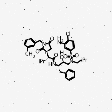 Cc1cccc(CN2C(=O)CN([C@H](C(=O)N[C@@H](Cc3ccccc3)[C@@H](O)CN(CC(C)C)S(=O)(=O)c3ccc(Cl)c(N)c3)C(C)C)C2=O)c1